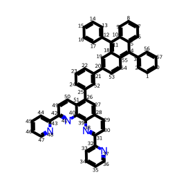 c1ccc(-c2c3ccccc3c(-c3ccccc3)c3cc(-c4cccc(-c5cc6ccc(-c7ccccn7)nc6c6nc(-c7ccccn7)ccc56)c4)ccc23)cc1